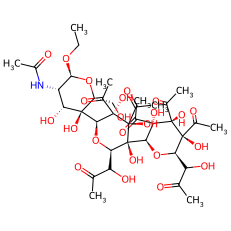 CCO[C@H]1O[C@H](CO)[C@](O)([C@@H]2O[C@H](C(O)C(C)=O)[C@@](O)([C@@H]3O[C@H](C(O)C(C)=O)[C@@](O)(C(C)=O)[C@@](O)(C(C)=O)[C@]3(O)C(C)=O)[C@@](O)(C(C)=O)[C@]2(O)C(C)=O)[C@H](O)[C@@H]1NC(C)=O